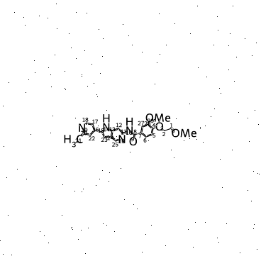 COCCOc1ccc(C(=O)Nc2cc3[nH]c(-c4ccnc(C)c4)cc3cn2)cc1OC